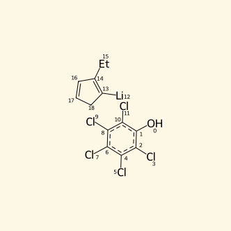 Oc1c(Cl)c(Cl)c(Cl)c(Cl)c1Cl.[Li][C]1=C(CC)C=CC1